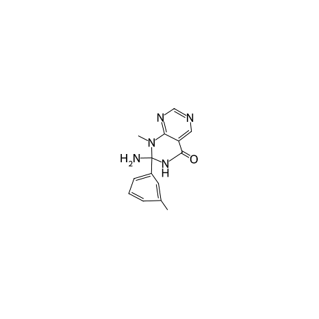 Cc1cccc(C2(N)NC(=O)c3cncnc3N2C)c1